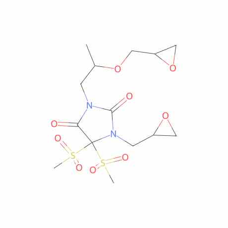 CC(CN1C(=O)N(CC2CO2)C(S(C)(=O)=O)(S(C)(=O)=O)C1=O)OCC1CO1